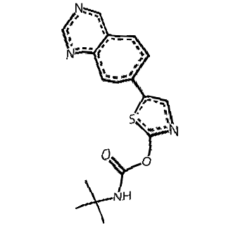 CC(C)(C)NC(=O)Oc1ncc(-c2ccc3cncnc3c2)s1